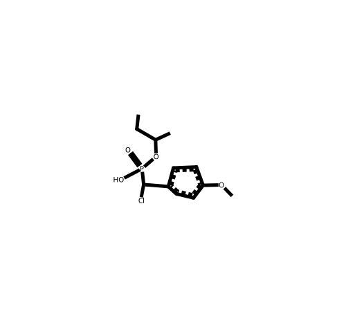 CCC(C)OP(=O)(O)C(Cl)c1ccc(OC)cc1